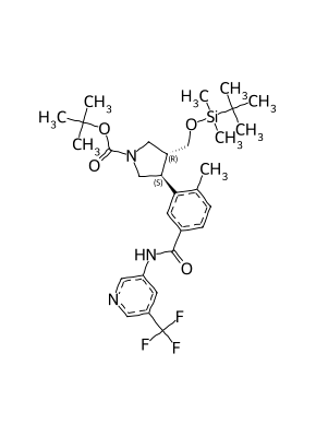 Cc1ccc(C(=O)Nc2cncc(C(F)(F)F)c2)cc1[C@H]1CN(C(=O)OC(C)(C)C)C[C@@H]1CO[Si](C)(C)C(C)(C)C